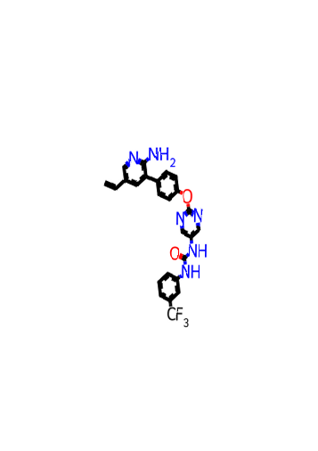 C=Cc1cnc(N)c(-c2ccc(Oc3ncc(NC(=O)Nc4cccc(C(F)(F)F)c4)cn3)cc2)c1